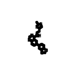 Cc1nc(CCNc2ncnc3ccc(-c4ccc5c(c4)OCO5)cc23)cs1